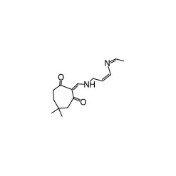 C/C=N\C=C/CN/C=C1/C(=O)CCC(C)(C)CC1=O